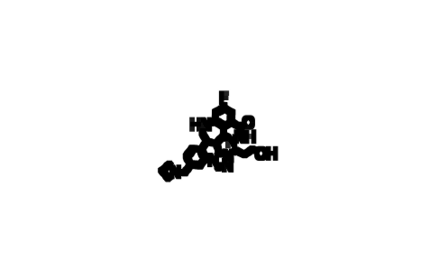 O=c1[nH]nc2c3c(cc(F)cc13)NCC(c1ccc(CN3CCC3)cc1)C2c1ncnn1CCCO